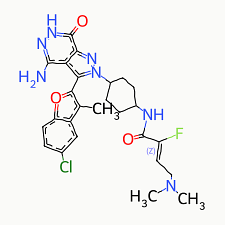 Cc1c(-c2c3c(N)n[nH]c(=O)c3nn2C2CCC(NC(=O)/C(F)=C/CN(C)C)CC2)oc2ccc(Cl)cc12